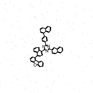 c1ccc2cc(-c3nc(-c4ccc(-c5cccc6ccccc56)cc4)nc(-c4ccc(-c5cccc6oc7ccccc7c56)c5ccccc45)n3)ccc2c1